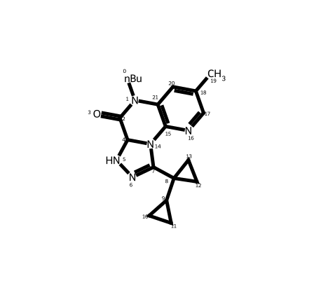 CCCCN1C(=O)C2NN=C(C3(C4CC4)CC3)N2c2ncc(C)cc21